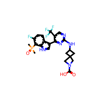 CP(C)(=O)c1c(F)ccc2c(-c3nc(NC4CC5(C4)CN(C(=O)O)C5)ncc3C(F)(F)F)c[nH]c12